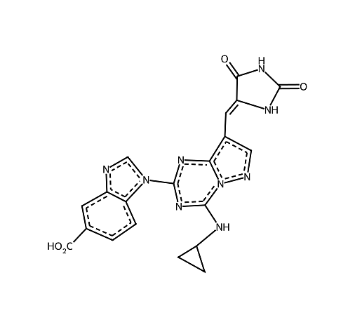 O=C1NC(=O)/C(=C/c2cnn3c(NC4CC4)nc(-n4cnc5cc(C(=O)O)ccc54)nc23)N1